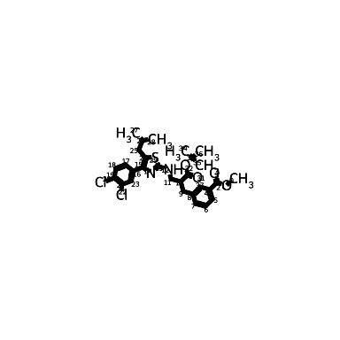 COC(=O)c1cccc(CC(CNc2nc(-c3ccc(Cl)c(Cl)c3)c(CC(C)C)s2)C(=O)OC(C)(C)C)c1